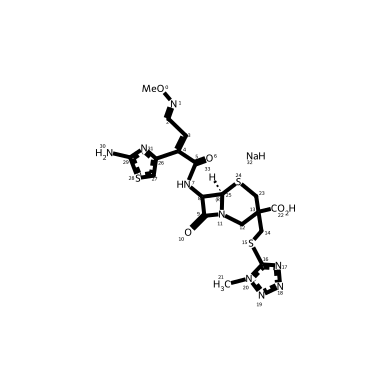 CON=CC=C(C(=O)NC1C(=O)N2CC(CSc3nnnn3C)(C(=O)O)CS[C@H]12)c1csc(N)n1.[NaH]